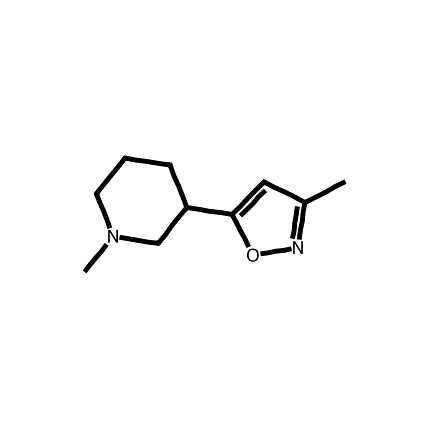 Cc1cc(C2CCCN(C)C2)on1